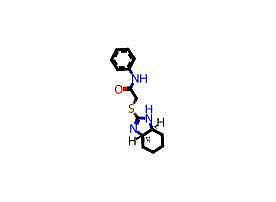 O=C(CSC1=N[C@H]2CCCC[C@@H]2N1)Nc1ccccc1